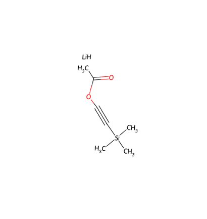 CC(=O)OC#C[Si](C)(C)C.[LiH]